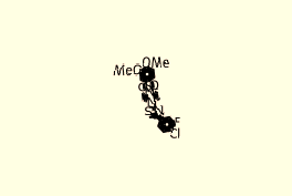 COc1ccc(S(=O)(=O)N2CCN(c3nc(-c4ccc(Cl)c(F)c4)cs3)CC2)cc1OC